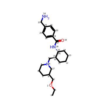 CCOCC1CCCN(C[C@@H]2CCCC[C@H]2NC(=O)c2ccc(CN)cc2)C1